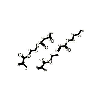 C=C(C)C(=O)OCC.C=C(C)C(=O)OCCOC(=O)CC(C)=O.C=CC(=O)OCCCC